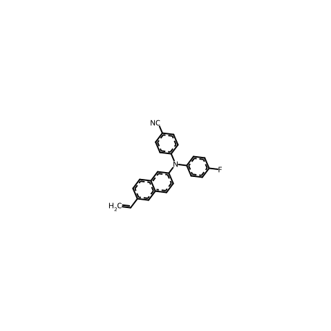 C=Cc1ccc2cc(N(c3ccc(F)cc3)c3ccc(C#N)cc3)ccc2c1